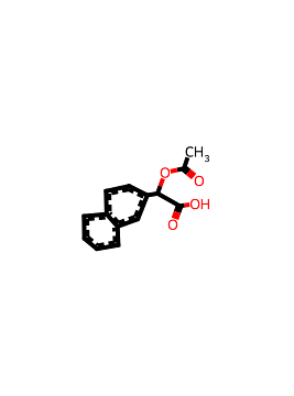 CC(=O)OC(C(=O)O)c1ccc2ccccc2c1